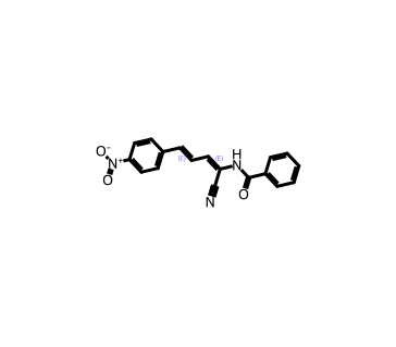 N#C/C(=C\C=C\c1ccc([N+](=O)[O-])cc1)NC(=O)c1ccccc1